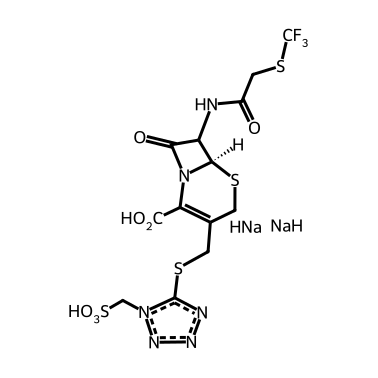 O=C(CSC(F)(F)F)NC1C(=O)N2C(C(=O)O)=C(CSc3nnnn3CS(=O)(=O)O)CS[C@H]12.[NaH].[NaH]